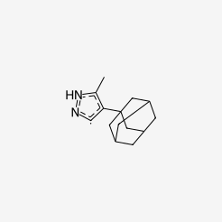 Cc1[nH]n[c]c1C12CC3CC(CC(C3)C1)C2